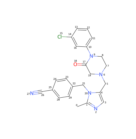 Cc1ncc(CN2CCN(c3cccc(Cl)c3)C(=O)C2)n1Cc1ccc(C#N)cc1